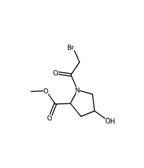 COC(=O)C1CC(O)CN1C(=O)CBr